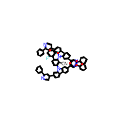 N#Cc1c(-n2c3cc(-c4ccnc(-c5ccccc5)c4)ccc3c3ccc(-c4ccnc(-c5ccccc5)c4)cc32)ccc(-c2c(F)cccc2F)c1-n1c2cc(-c3ccnc(-c4ccccc4)c3)ccc2c2ccc(-c3ccnc(-c4ccccc4)c3)cc21